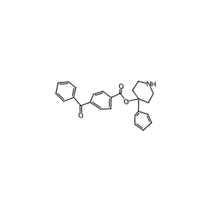 O=C(OC1(c2ccccc2)CCNCC1)c1ccc(C(=O)c2ccccc2)cc1